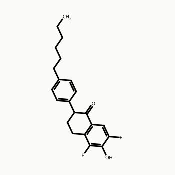 CCCCCCc1ccc(C2CCc3c(cc(F)c(O)c3F)C2=O)cc1